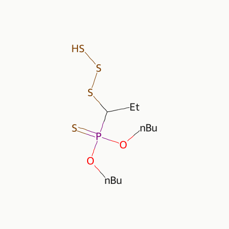 CCCCOP(=S)(OCCCC)C(CC)SSS